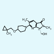 Cc1cc2c(nc1N1CCC(OCC3(C)CC3)CC1)[C@@H](CO)N(C)C2=O